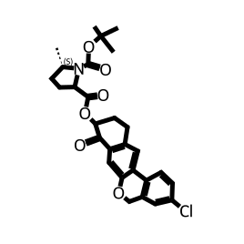 C[C@H]1CCC(C(=O)OC2CCc3cc4c(cc3C2=O)OCc2cc(Cl)ccc2-4)N1C(=O)OC(C)(C)C